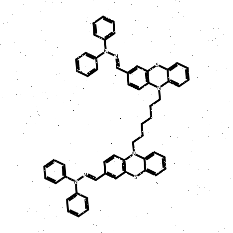 C(=N\N(c1ccccc1)c1ccccc1)/c1ccc2c(c1)Sc1ccccc1N2CCCCCCN1c2ccccc2Sc2cc(/C=N/N(c3ccccc3)c3ccccc3)ccc21